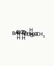 CCOCCOCC(=O)NCCOCCOCC(=O)N[C@@H](CCCCNC(=O)CBr)C(=O)O